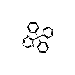 c1ccc([PH](c2ccccc2)(c2ccccc2)c2ncncn2)cc1